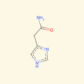 NC(=O)Cc1c[nH][c]n1